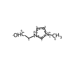 C[n+]1ccn(C[C]=O)c1